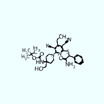 CCc1c(C#N)c(SC(C(N)=O)c2cc#ccc2)nc(N2CCC(CO)(NC(=O)OC(C)(C)C)CC2)c1C#N